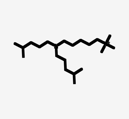 CC(C)CCCN(CCCCC[N+](C)(C)C)CCCC(C)C